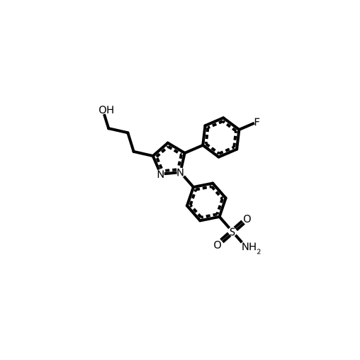 NS(=O)(=O)c1ccc(-n2nc(CCCO)cc2-c2ccc(F)cc2)cc1